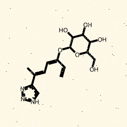 C=C/C(=C\C=C(/C)c1c[nH]nn1)OC1OC(CO)C(O)C(O)C1O